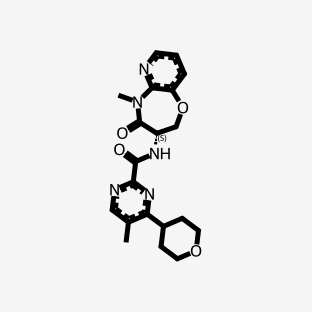 Cc1cnc(C(=O)N[C@H]2COc3cccnc3N(C)C2=O)nc1C1CCOCC1